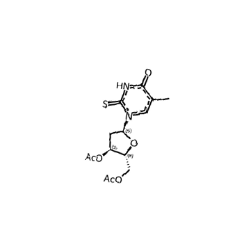 CC(=O)OC[C@H]1O[C@H](n2cc(C)c(=O)[nH]c2=S)C[C@@H]1OC(C)=O